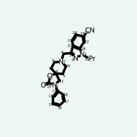 CC(C)n1nc(CN2CCC3(CC2)CN(c2ccccc2)C(=O)O3)c2ccc(C#N)cc21